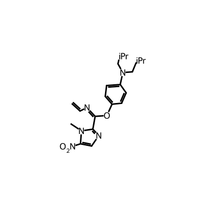 C=CN=C(Oc1ccc(N(CC(C)C)CC(C)C)cc1)c1ncc([N+](=O)[O-])n1C